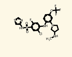 CNC1CCN(c2cc(OC(F)(F)F)ccc2Nc2cc(F)c(S(=O)(=O)Nc3cscn3)cc2Cl)C1